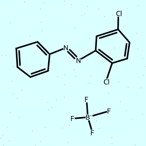 Clc1ccc(Cl)c(N=Nc2ccccc2)c1.F[B-](F)(F)F